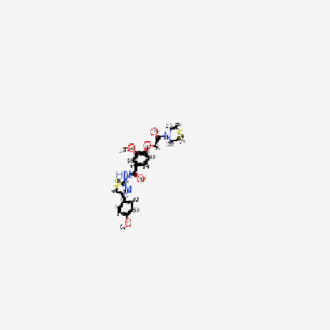 COc1ccc(-c2csc(NC(=O)c3ccc(OCC(=O)N4CCSCC4)c(OC)c3)n2)cc1